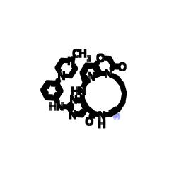 CN1CCN(c2cccc(Nc3ncc4c(n3)Nc3ccc5c(n3)N(CCCC/C=C\NC4=O)C(=O)CO5)c2)CC1